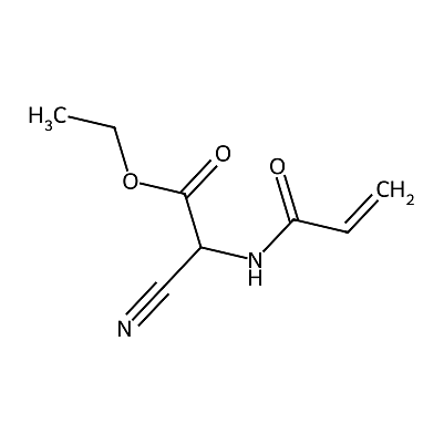 C=CC(=O)NC(C#N)C(=O)OCC